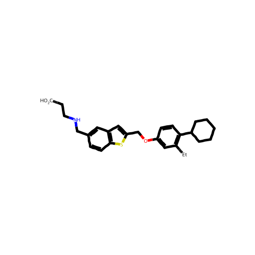 CCc1cc(OCc2cc3cc(CNCCC(=O)O)ccc3s2)ccc1C1CCCCC1